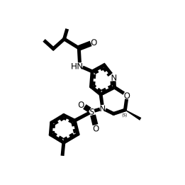 CCC(C)C(=O)Nc1cnc2c(c1)N(S(=O)(=O)c1cccc(C)c1)C[C@H](C)O2